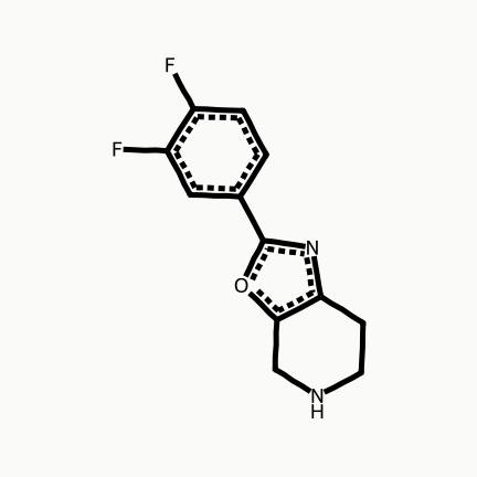 Fc1ccc(-c2nc3c(o2)CNCC3)cc1F